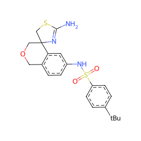 CC(C)(C)c1ccc(S(=O)(=O)Nc2ccc3c(c2)C2(COC3)CSC(N)=N2)cc1